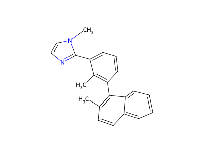 Cc1ccc2ccccc2c1-c1cccc(-c2nccn2C)c1C